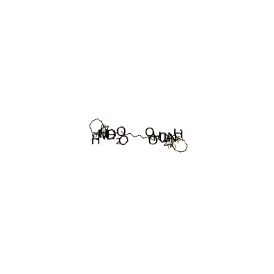 C[C@@]12CCCCC[C@@H](Cc3ccc(OC(=O)CCCCC(=O)Oc4ccc5c(c4)[C@@]4(C)CCCCC[C@@H](C5)[C@@H]4N)cc31)[C@@H]2N